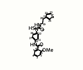 COc1ccccc1C(=O)Nc1ccc(N(S)C(=O)NCCc2ccsc2)cc1